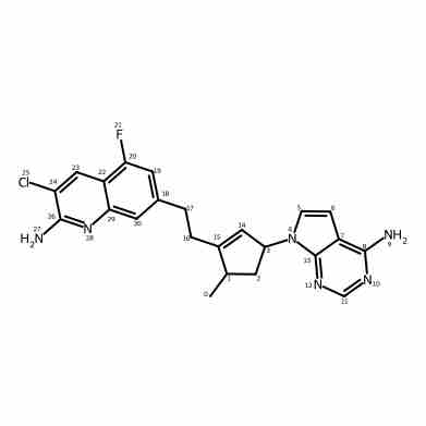 CC1CC(n2ccc3c(N)ncnc32)C=C1CCc1cc(F)c2cc(Cl)c(N)nc2c1